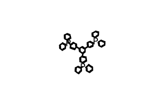 c1ccc(P(c2ccccc2)c2ccc(-c3cc(-c4ccc(P(c5ccccc5)c5ccccc5)cc4)cc(-c4ccc(P(c5ccccc5)c5ccccc5)cc4)c3)cc2)cc1